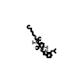 CC(C)Cc1cccc2cc(Cn3cccc(NC(=O)CCC/C=C/C=O)c3=O)[nH]c12